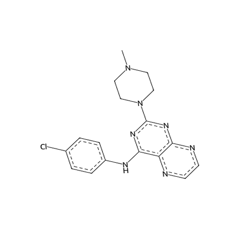 CN1CCN(c2nc(Nc3ccc(Cl)cc3)c3nccnc3n2)CC1